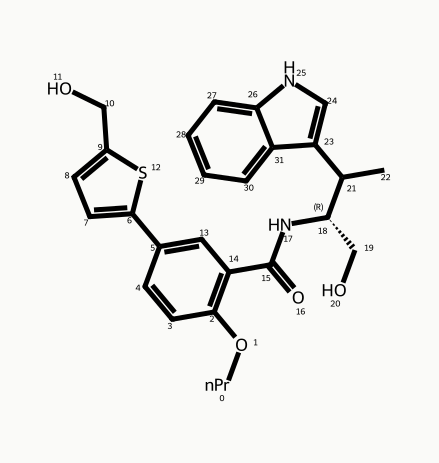 CCCOc1ccc(-c2ccc(CO)s2)cc1C(=O)N[C@@H](CO)C(C)c1c[nH]c2ccccc12